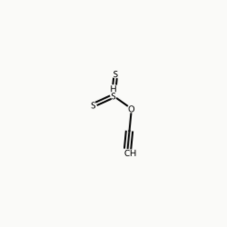 C#CO[SH](=S)=S